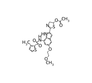 COCCOc1cc(NS(=O)(=O)c2sccc2C)c2[nH]c(C3=NCC(OC(C)=O)S3)cc2c1